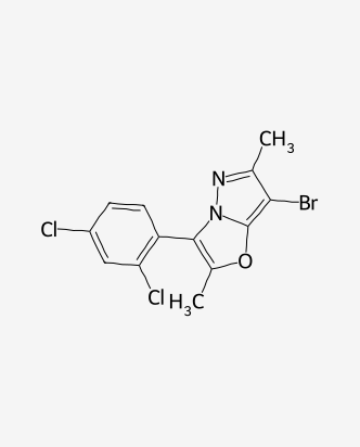 Cc1nn2c(-c3ccc(Cl)cc3Cl)c(C)oc2c1Br